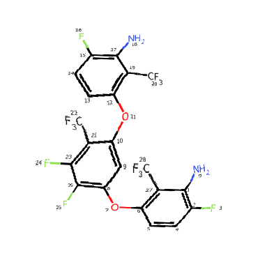 Nc1c(F)ccc(Oc2cc(Oc3ccc(F)c(N)c3C(F)(F)F)c(C(F)(F)F)c(F)c2F)c1C(F)(F)F